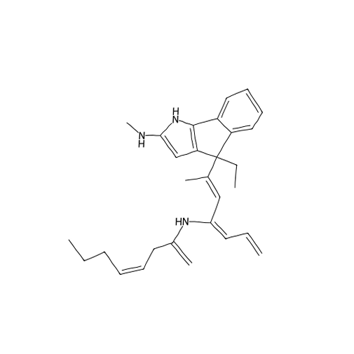 C=C/C=C(\C=C(/C)C1(CC)c2ccccc2-c2[nH]c(NC)cc21)NC(=C)C/C=C\CCC